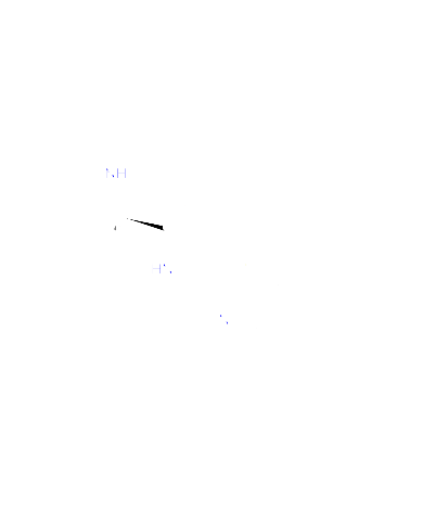 O=C(Nc1nc2ccc3ccccc3c2s1)[C@H]1CCCN1